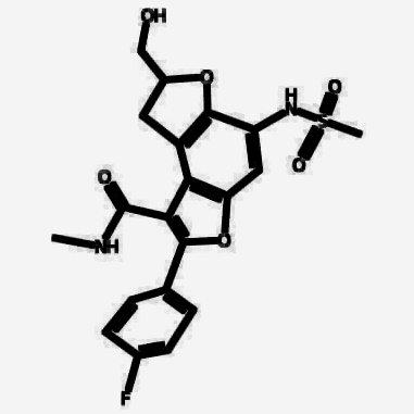 CNC(=O)c1c(-c2ccc(F)cc2)oc2cc(NS(C)(=O)=O)c3c(c12)CC(CO)O3